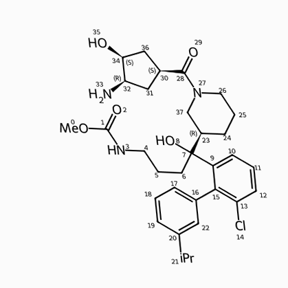 COC(=O)NCCCC(O)(c1cccc(Cl)c1-c1cccc(C(C)C)c1)[C@@H]1CCCN(C(=O)[C@H]2C[C@@H](N)[C@@H](O)C2)C1